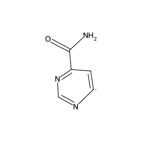 NC(=O)c1c[c]ncn1